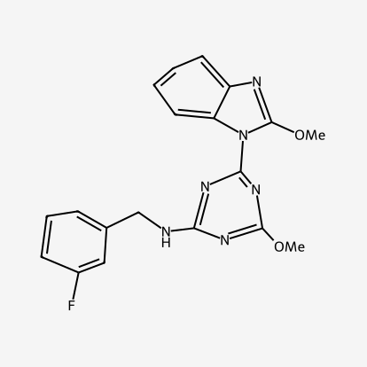 COc1nc(NCc2cccc(F)c2)nc(-n2c(OC)nc3ccccc32)n1